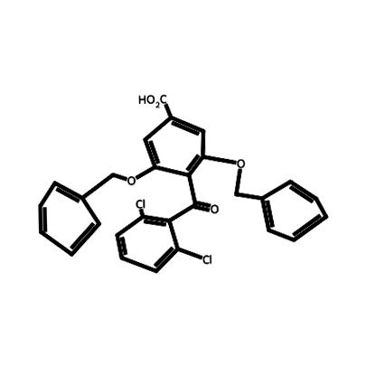 O=C(O)c1cc(OCc2ccccc2)c(C(=O)c2c(Cl)cccc2Cl)c(OCc2ccccc2)c1